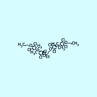 C=CCCOc1c(Cl)cc(C(C)(C)c2cc(Cl)c(OCCCC(CC)(CC)Oc3c(Cl)cc(C(C)(C)c4cc(Cl)c(OCCC=C)c(Cl)c4)cc3Cl)c(Cl)c2)cc1Cl